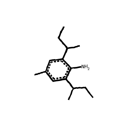 CCC(C)c1cc(C)cc(C(C)CC)c1N